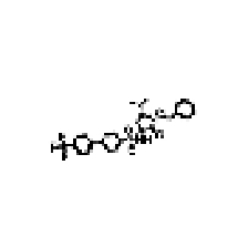 CC(C)[C@H]1C[C@@H](NS(=O)(=O)c2ccc(-c3ccc(C(F)(F)F)cc3)cc2)C(=O)N1OCc1ccccc1